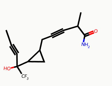 CC#CC(O)(C1CC1CC#CC(C)C(N)=O)C(F)(F)F